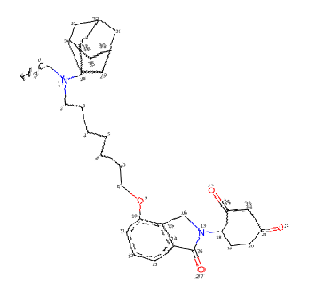 CN(CCCCCCCOc1cccc2c1CN(C1CCC(=O)CC1=O)C2=O)C12CC3CC(CC1C3)C2